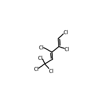 ClC=C(Cl)C(Cl)=CC(Cl)(Cl)Cl